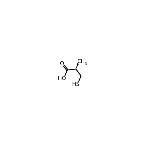 C[C@@H](CS)C(=O)O